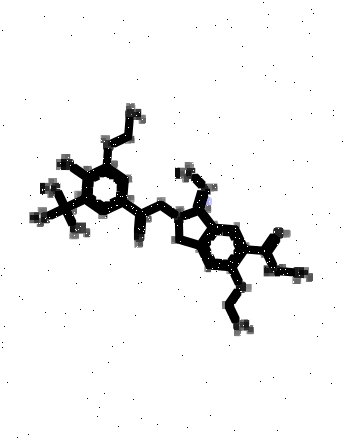 CCOc1cc2c(cc1C(=O)NC)/C(=N/C)N(CC(=O)c1cc(OCC)c(O)c(C(C)(C)C)c1)C2